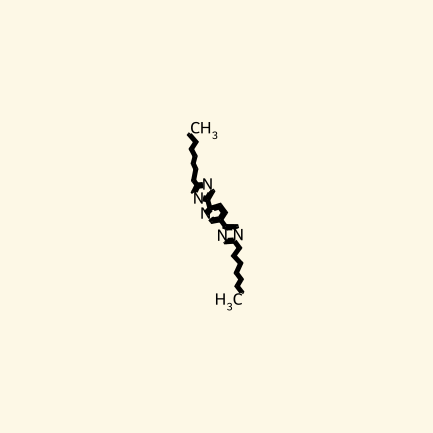 CCCCCCCCc1cnc(-c2ccc(-c3cnc(CCCCCCCC)cn3)nc2)cn1